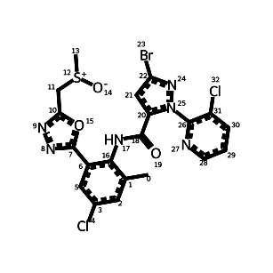 Cc1cc(Cl)cc(-c2nnc(C[S+](C)[O-])o2)c1NC(=O)c1cc(Br)nn1-c1ncccc1Cl